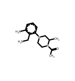 CC(=O)N1CCN(c2cccc(N)c2CN)CC1C